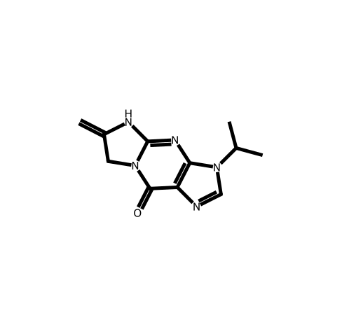 C=C1Cn2c(nc3c(ncn3C(C)C)c2=O)N1